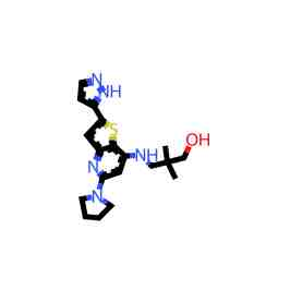 CC(C)(CO)CNc1cc(N2CCCC2)nc2cc(-c3ccn[nH]3)sc12